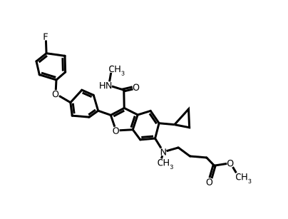 CNC(=O)c1c(-c2ccc(Oc3ccc(F)cc3)cc2)oc2cc(N(C)CCCC(=O)OC)c(C3CC3)cc12